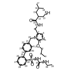 CCCOc1ncc(CNC(=O)C(CS)CC(C)C)n1Cc1ccc(-c2ccccc2S(=O)(=O)NC(=O)NCC)cc1